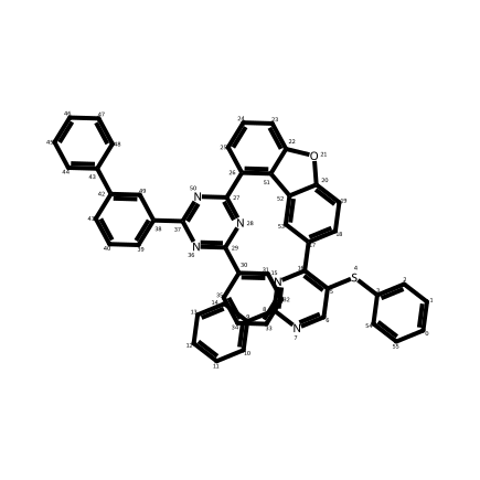 c1ccc(Sc2cnc(-c3ccccc3)nc2-c2ccc3oc4cccc(-c5nc(-c6ccccc6)nc(-c6cccc(-c7ccccc7)c6)n5)c4c3c2)cc1